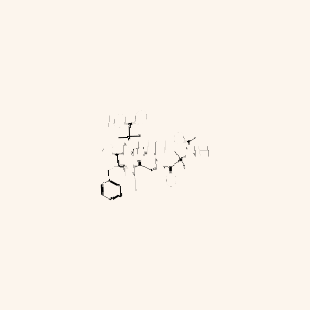 CC(=O)NC(C)(C)C(=O)NCC(=O)N[C@@H](Cc1ccccc1)C(=O)NC(C)(C)C(=O)O